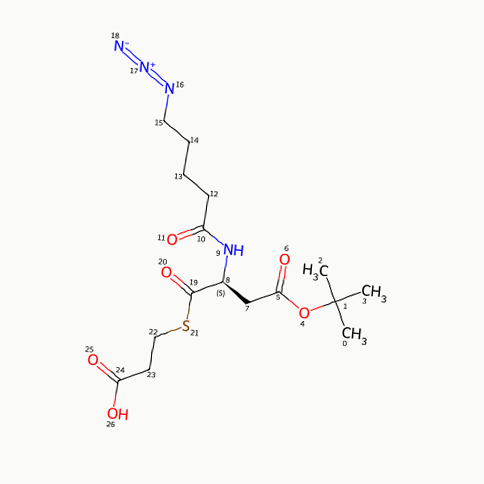 CC(C)(C)OC(=O)C[C@H](NC(=O)CCCCN=[N+]=[N-])C(=O)SCCC(=O)O